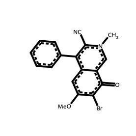 COc1cc2c(-c3ccccc3)c(C#N)n(C)cc-2c(=O)c1Br